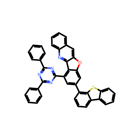 c1ccc(-c2nc(-c3ccccc3)nc(-c3cc(-c4cccc5c4sc4ccccc45)cc4oc5cc6ccccc6nc5c34)n2)cc1